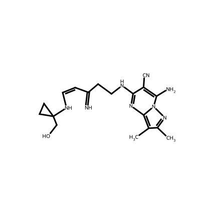 Cc1nn2c(N)c(C#N)c(NCCC(=N)/C=C\NC3(CO)CC3)nc2c1C